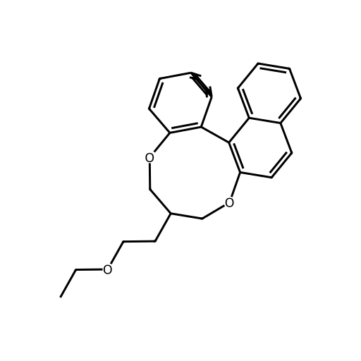 CCOCCC1COc2ccc3ccccc3c2-c2c(ccc3ccccc23)OC1